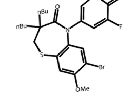 C=C(F)/C(F)=C\C(=C/C)N1C(=O)C(CCCC)(CCCC)CSc2cc(OC)c(Br)cc21